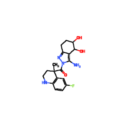 CC1(C(=O)n2nc3c(c2N)C(O)C(O)CC3)CCNc2ccc(F)cc21